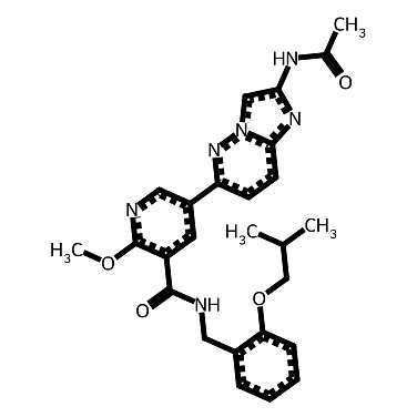 COc1ncc(-c2ccc3nc(NC(C)=O)cn3n2)cc1C(=O)NCc1ccccc1OCC(C)C